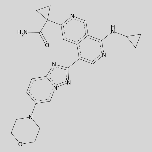 NC(=O)C1(c2cc3c(-c4nc5ccc(N6CCOCC6)cn5n4)cnc(NC4CC4)c3cn2)CC1